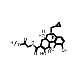 COC(=O)CNC(=O)C1=C(O)[C@@H]2Oc3c(O)ccc4c3[C@@]23CCN(CC2CC2)[C@H](C4)[C@]3(O)C1